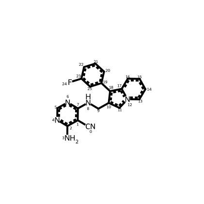 N#Cc1c(N)ncnc1NCc1cn2ccccc2c1-c1cccc(F)c1